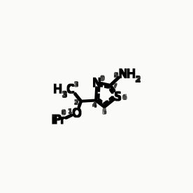 CC(C)OC(C)c1csc(N)n1